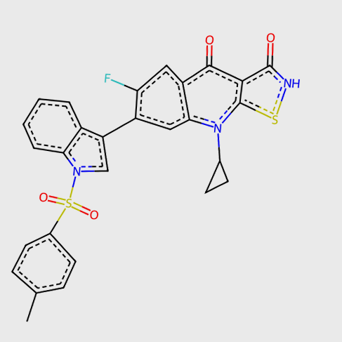 Cc1ccc(S(=O)(=O)n2cc(-c3cc4c(cc3F)c(=O)c3c(=O)[nH]sc3n4C3CC3)c3ccccc32)cc1